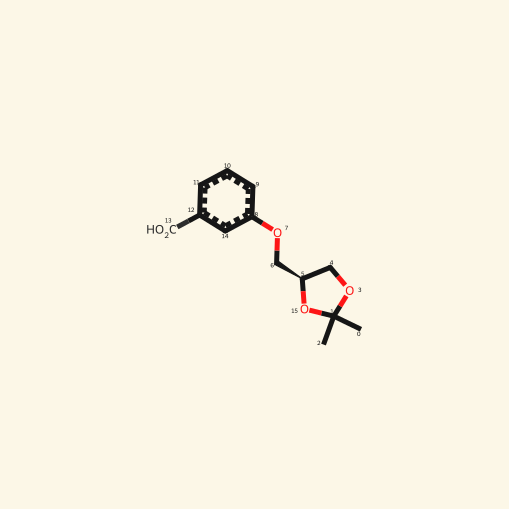 CC1(C)OC[C@H](COc2cccc(C(=O)O)c2)O1